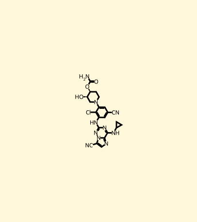 N#Cc1cc(Nc2nc(NC3CC3)c3ncc(C#N)n3n2)c(Cl)c(N2CC[C@H](OC(N)=O)[C@H](O)C2)c1